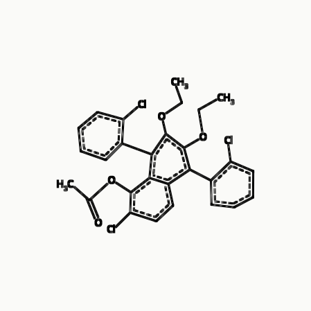 CCOc1c(OCC)c(-c2ccccc2Cl)c2c(OC(C)=O)c(Cl)ccc2c1-c1ccccc1Cl